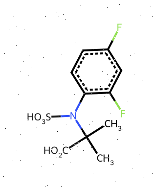 CC(C)(C(=O)O)N(c1ccc(F)cc1F)S(=O)(=O)O